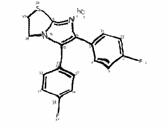 Cl.Fc1ccc(-c2nc3n(c2-c2ccc(F)cc2)CCS3)cc1